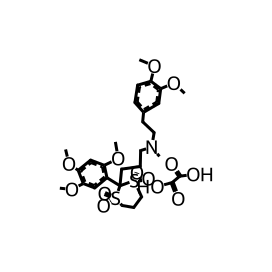 COc1ccc(CCN(C)CCCC2(c3cc(OC)c(OC)cc3OC)S(=O)(=O)CCCS2(=O)=O)cc1OC.O=C(O)C(=O)O